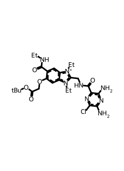 CCNC(=O)c1cc2c(cc1OCC(=O)OC(C)(C)C)n(CC)c(CNC(=O)c1nc(Cl)c(N)nc1N)[n+]2CC